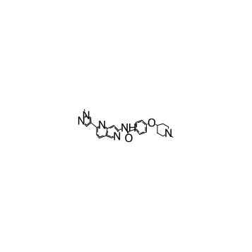 CN1CCC(Oc2ccc(C(=O)Nc3cc4nc(-c5cnn(C)c5)ccc4cn3)cc2)CC1